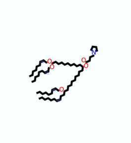 CCCCCC/C=C\CCC(CCCCCCCCCC(CCCCCCCCCC(OC/C=C\CCCCCC)OC/C=C\CCCCCC)OC(=O)CCCN1CCCC1)OC/C=C\CCCCCC